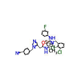 CC(C)(CN(Cc1cccc(Cl)c1Cl)C(=S)Nc1cccc(F)c1)NC(=O)Cc1cncn1Cc1ccc(C#N)cc1